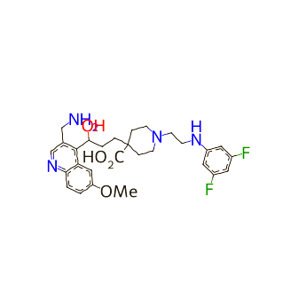 COc1ccc2ncc(CN)c(C(O)CCC3(C(=O)O)CCN(CCNc4cc(F)cc(F)c4)CC3)c2c1